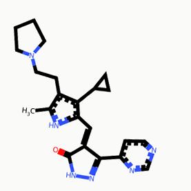 Cc1[nH]c(C=C2C(=O)NN=C2c2ccncn2)c(C2CC2)c1CCN1CCCC1